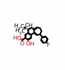 CC(C)(C)[C@@H]1CC2=CCCC(c3ccc(F)cc3)C=C2c2cc(O)c(C(=O)O)cc21